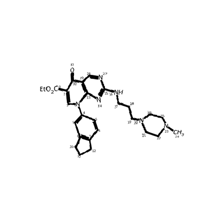 CCOC(=O)c1cn(-c2ccc3c(c2)CCC3)c2nc(NCCCN3CCN(C)CC3)ncc2c1=O